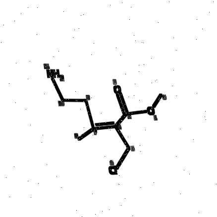 COC(=O)C(CCl)=C(C)CCN